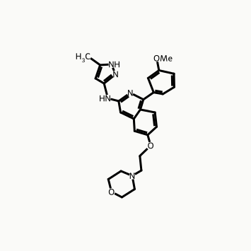 COc1cccc(-c2nc(Nc3cc(C)[nH]n3)cc3cc(OCCN4CCOCC4)ccc23)c1